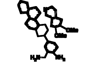 COc1cc2ccncc2cc1OC.NCc1cc(C2CCc3c(ccc4c3ccc3ccccc34)C2)ccc1N